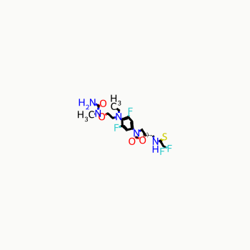 CCN(CCON(C)C(N)=O)c1c(F)cc(N2C[C@H](CNC(=S)C(F)F)OC2=O)cc1F